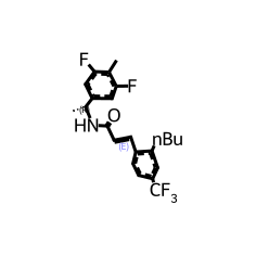 CCCCc1cc(C(F)(F)F)ccc1/C=C/C(=O)N[C@H](C)c1cc(F)c(C)c(F)c1